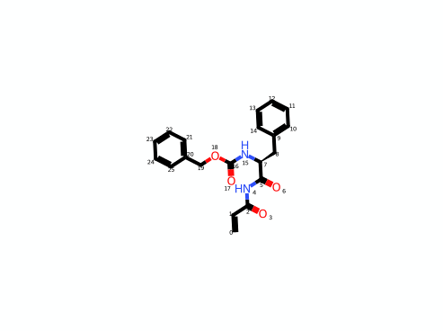 C=CC(=O)NC(=O)[C@H](Cc1ccccc1)NC(=O)OCc1ccccc1